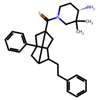 CC1(C)CN(C(=S)C23CC4C(CCc5ccccc5)C2CC4(c2ccccc2)C3)CC[C@@H]1N